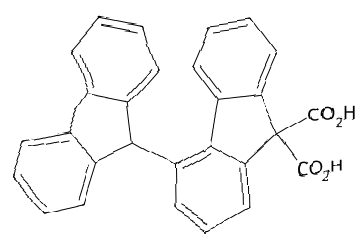 O=C(O)C1(C(=O)O)c2ccccc2-c2c(C3c4ccccc4-c4ccccc43)cccc21